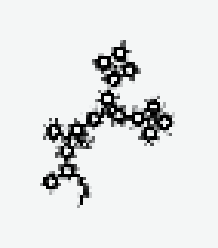 C=C/C=C\C=C\c1cc(-c2ccccc2)cc(-c2ccc(N(c3ccccc3)c3ccc(-c4ccc(-n5c6ccc(-c7ccc([Si](c8ccccc8)(c8ccccc8)c8ccccc8)cc7)cc6c6cc(-c7ccc([Si](c8ccccc8)(c8ccccc8)c8ccccc8)cc7)ccc65)cc4)c4nsnc34)cc2)c1